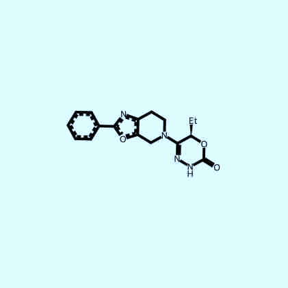 CC[C@H]1OC(=O)NN=C1N1CCc2nc(-c3ccccc3)oc2C1